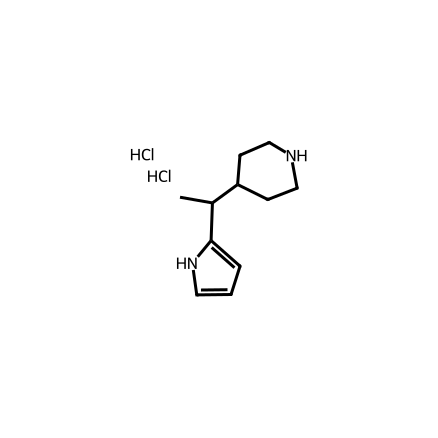 CC(c1ccc[nH]1)C1CCNCC1.Cl.Cl